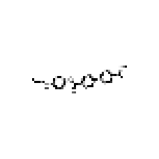 CCCOc1ccc(OC(=O)c2ccc(-c3ccc(C(C)OC)cc3)cc2)cc1